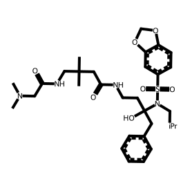 CC(C)CN(C(O)(CCNC(=O)CC(C)(C)CNC(=O)CN(C)C)Cc1ccccc1)S(=O)(=O)c1ccc2c(c1)OCO2